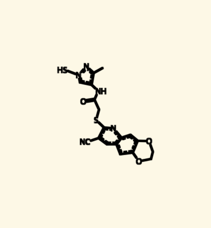 Cc1nn(S)cc1NC(=O)CSc1nc2cc3c(cc2cc1C#N)OCCO3